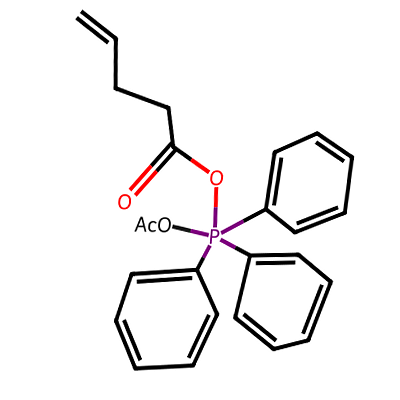 C=CCCC(=O)OP(OC(C)=O)(c1ccccc1)(c1ccccc1)c1ccccc1